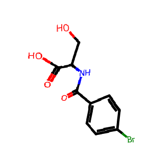 O=C(NC(CO)C(=O)O)c1ccc(Br)cc1